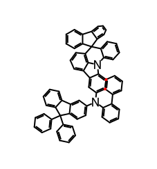 c1ccc(-c2ccccc2N(c2ccc3c(c2)-c2ccccc2C3(c2ccccc2)c2ccccc2)c2ccc3c(c2)c2cccc4c2n3-c2ccccc2C42c3ccccc3-c3ccccc32)cc1